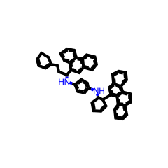 C1=CCCC(CCC(Nc2ccc(NC3C=CC=CC3c3cc4ccccc4c4ccc5ccccc5c34)cc2)c2cc3ccccc3c3ccccc23)=C1